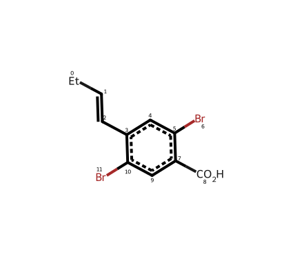 CC/C=C/c1cc(Br)c(C(=O)O)cc1Br